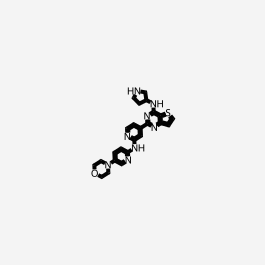 c1cc(-c2nc(NC3CCNC3)c3sccc3n2)cc(Nc2ccc(N3CCOCC3)cn2)n1